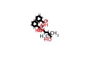 CC(C)(CO)CCCO.O=C(O)c1ccccc1.O=C(O)c1ccccc1